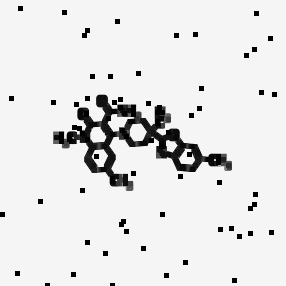 Cc1ccc2nc(C3(C)CCN(c4c(C(N)=O)c(=O)n(C)c5ccc(C)cc45)CC3)oc2c1